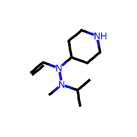 C=CN(C1CCNCC1)N(C)C(C)C